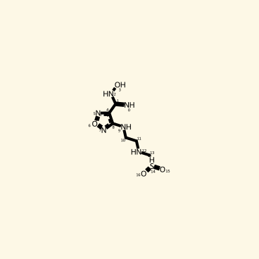 N=C(NO)c1nonc1NCCNC[SH](=O)=O